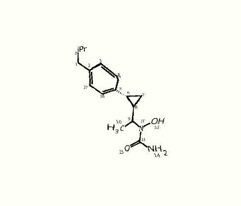 CC(C)Cc1ccc([C@@H]2C[C@H]2C(C)N(O)C(N)=O)cc1